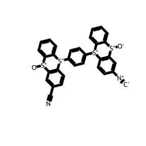 [C-]#[N+]c1ccc2c(c1)[S+]([O-])c1ccccc1[S+]2c1ccc([S+]2c3ccccc3[S+]([O-])c3cc(C#N)ccc32)cc1